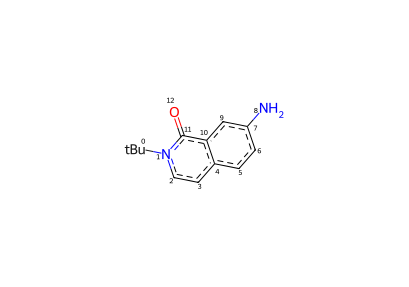 CC(C)(C)n1ccc2ccc(N)cc2c1=O